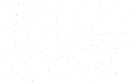 CC1CNC(Cc2ccccc2)c2c(C(N)=O)nn(C(C)C)c21